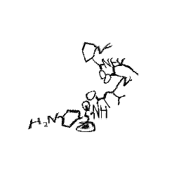 C/C=C(\C)[C@H](NC(=O)[C@H]1CCCCN1C)C(=O)N(C)[C@H](/C=C(\C)C(=O)NS(=O)(=O)c1ccc(N)cc1)C(C)C